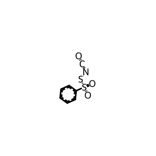 O=C=NSS(=O)(=O)c1ccccc1